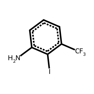 Nc1cccc(C(F)(F)F)c1I